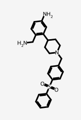 NCc1ccc(N)cc1C1CCN(Cc2ccc(S(=O)(=O)c3ccccc3)cc2)CC1